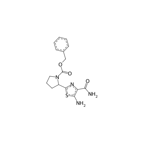 NC(=O)c1nc(C2CCCN2C(=O)OCc2ccccc2)sc1N